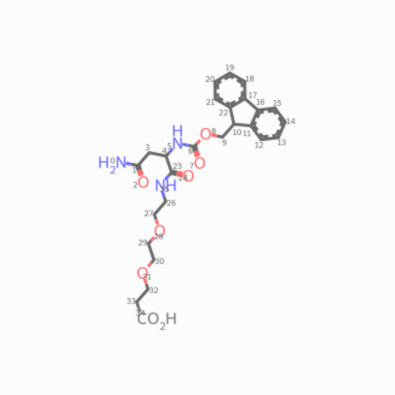 NC(=O)CC(NC(=O)OCC1c2ccccc2-c2ccccc21)C(=O)NCCOCCOCCC(=O)O